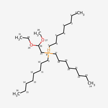 CCCCCCCC[PH](CCCCCCCC)(CCCCCCCC)CC(OC)OCC